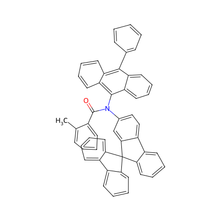 Cc1ccccc1C(=O)N(c1ccc2c(c1)C1(c3ccccc3-c3ccccc31)c1ccccc1-2)c1c2ccccc2c(-c2ccccc2)c2ccccc12